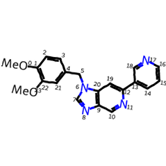 COc1ccc(Cn2cnc3cnc(-c4cccnc4)cc32)cc1OC